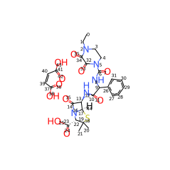 CCN1CCN(C(=O)NC(C(=O)N[C@@H]2C(=O)N3[C@@H]2SC(C)(C)[C@@H]3C(=O)O)c2ccccc2)C(=O)C1=O.O=C(O)/C=C\C(=O)O